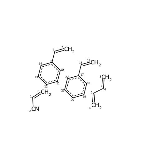 C=CC#N.C=CC=C.C=Cc1ccccc1.C=Cc1ccccc1